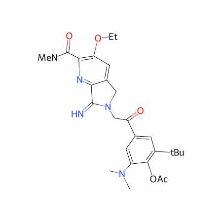 CCOc1cc2c(nc1C(=O)NC)C(=N)N(CC(=O)c1cc(N(C)C)c(OC(C)=O)c(C(C)(C)C)c1)C2